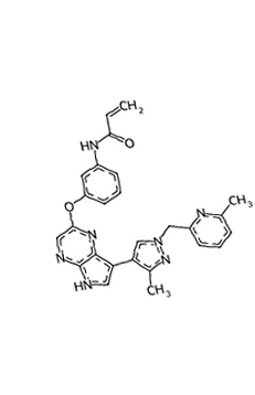 C=CC(=O)Nc1cccc(Oc2cnc3[nH]cc(-c4cn(Cc5cccc(C)n5)nc4C)c3n2)c1